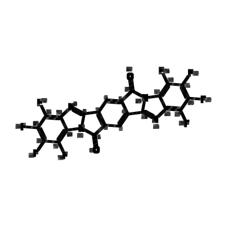 O=c1c2cc3c(cc2c2nc4c(F)c(F)c(F)c(F)c4n12)c(=O)n1c3nc2c(F)c(F)c(F)c(F)c21